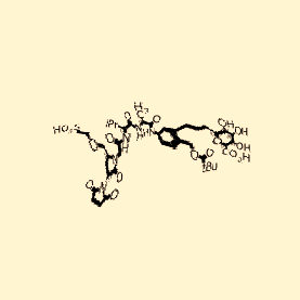 CC(C)[C@H](NC(=O)CN1C(=O)[C@H](N2C(=O)C=CC2=O)C[C@H]1COCCS(=O)(=O)O)C(=O)N[C@@H](C)C(=O)Nc1ccc(COC(=O)C(C)(C)C)c(CCC[C@@H]2O[C@H](C(=O)O)[C@@H](O)[C@H](O)[C@H]2O)c1